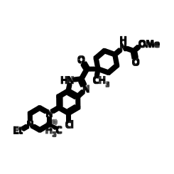 CCN1CCN(c2cc3[nH]c(C(=O)C4(C)CCC(NC(=O)OC)CC4)nc3cc2Cl)[C@@H](C)C1